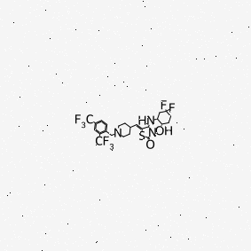 O=C1N=C(N[C@H]2CC(F)(F)CC[C@@H]2O)/C(=C/C2CCN(Cc3ccc(C(F)(F)F)cc3C(F)(F)F)CC2)S1